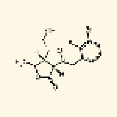 C[C@@H]1OC(=O)[C@@H]2[C@H]1[C@H](CO)ON2Cc1cccc(Br)c1F